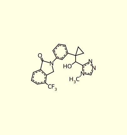 Cn1cnnc1C(O)C1(c2cccc(N3Cc4c(cccc4C(F)(F)F)C3=O)c2)CC1